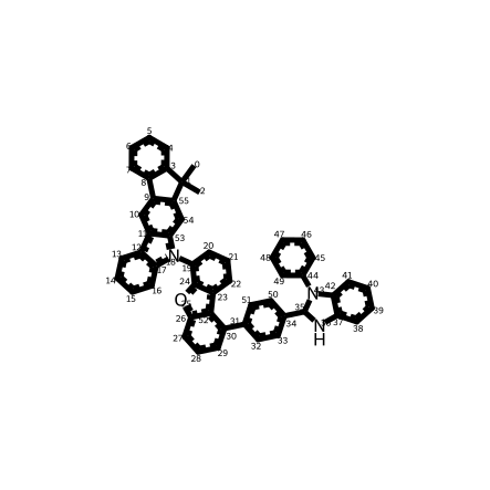 CC1(C)c2ccccc2-c2cc3c4ccccc4n(-c4cccc5c4oc4cccc(-c6ccc(C7Nc8ccccc8N7c7ccccc7)cc6)c45)c3cc21